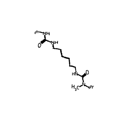 CC(C)NC(=O)NCCCCCCNC(=O)N(C)C(C)C